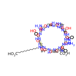 CCCC[C@H]1C(=O)N(C)[C@@H](CCCC)C(=O)N[C@@H](CC(C)C)C(=O)N[C@H](C(=O)NCCCCCCCCCCCCCCC(=O)O)CSCC(=O)N[C@@H](Cc2ccc(O)cc2)C(=O)N(C)[C@@H](C)C(=O)N[C@@H](CC(N)=O)C(=O)N2CCC[C@H]2C(=O)N[C@@H](CN)C(=O)N[C@@H](CC(C)C)C(=O)N2C[C@H](O)C[C@H]2C(=O)N[C@@H](Cc2c[nH]c3ccccc23)C(=O)N[C@@H](CCN)C(=O)N[C@@H](Cc2cn(CC(=O)O)c3ccccc23)C(=O)N1C